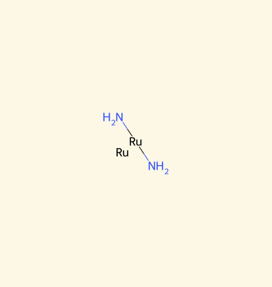 [NH2][Ru][NH2].[Ru]